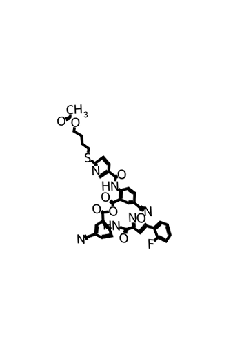 CC(=O)OCCCCSc1ccc(C(=O)Nc2ccc(C#N)cc2C(=O)OC(=O)c2cc(C#N)ccc2NC(=O)c2cc(-c3ccccc3F)on2)cn1